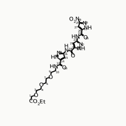 CCOC(=O)COCCOCCOCCNC(=O)c1cc(NC(=O)c2cc(NC(=O)c3cc([N+](=O)[O-])n[nH]3)n[nH]2)n[nH]1